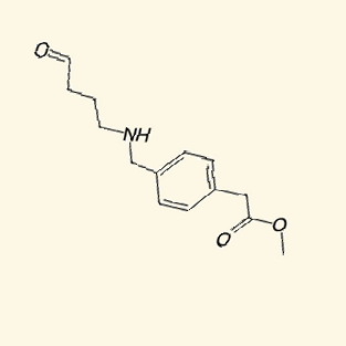 COC(=O)Cc1ccc(CNCCCC=O)cc1